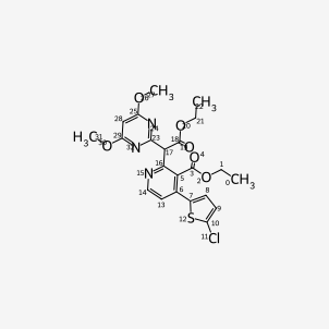 CCOC(=O)c1c(-c2ccc(Cl)s2)ccnc1C(C(=O)OCC)c1nc(OC)cc(OC)n1